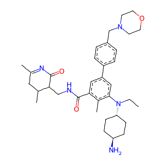 CCN(c1cc(-c2ccc(CN3CCOCC3)cc2)cc(C(=O)NCC2C(=O)N=C(C)CC2C)c1C)[C@H]1CC[C@H](N)CC1